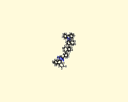 CC1C=Cc2c(c3nc(-c4cccc(C5CC=Cc6c(-c7ccc(-n8c9ccccc9c9ccccc98)c8c7CCC=C8)cccc65)c4)cnc3c3ccccc23)C1